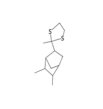 CC1C2CC(C1C)C(C1(C)SCCS1)C2